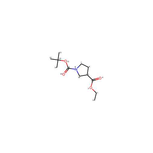 CCOC(=O)C1CCN(C(=O)OC(C)(C)C)C1